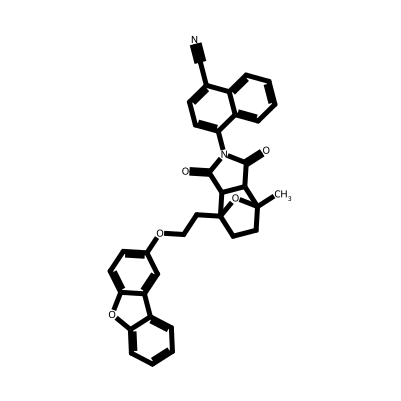 CC12CCC(CCOc3ccc4oc5ccccc5c4c3)(O1)C1C(=O)N(c3ccc(C#N)c4ccccc34)C(=O)C12